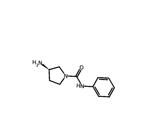 N[C@@H]1CCN(C(=O)Nc2ccccc2)C1